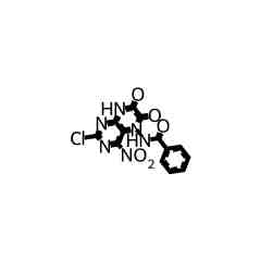 O=C(Nn1c(=O)c(=O)[nH]c2nc(Cl)nc([N+](=O)[O-])c21)c1ccccc1